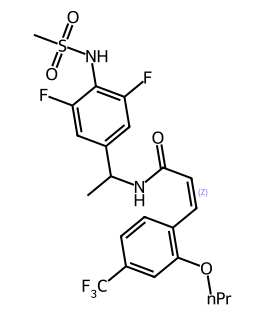 CCCOc1cc(C(F)(F)F)ccc1/C=C\C(=O)NC(C)c1cc(F)c(NS(C)(=O)=O)c(F)c1